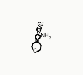 NC1CN(C2CCCCCCCCCC2)CCC1N1CC[S+]([O-])CC1